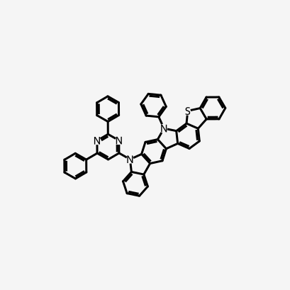 c1ccc(-c2cc(-n3c4ccccc4c4cc5c6ccc7c8ccccc8sc7c6n(-c6ccccc6)c5cc43)nc(-c3ccccc3)n2)cc1